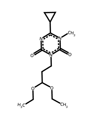 CCOC(CCn1c(=O)nc(C2CC2)n(C)c1=O)OCC